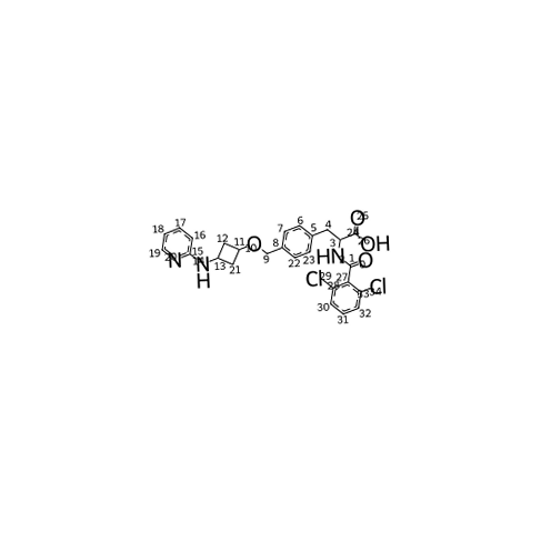 O=C(NC(Cc1ccc(COC2CC(Nc3ccccn3)C2)cc1)C(=O)O)c1c(Cl)cccc1Cl